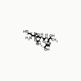 CC(O)[C@@H](NC(=O)N[C@@H](CC(N)=O)c1nc([C@@H](N)CCO)no1)c1nnc(CO)o1